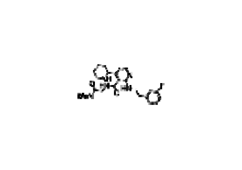 CNC(=O)CNC(=O)c1c(C2CCCCN2)ccnc1NCCc1cccc(F)c1